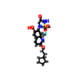 O=C1CN(c2c(O)cc3ccc(OCCC4CCCC4)nc3c2F)S(=O)(=O)N1